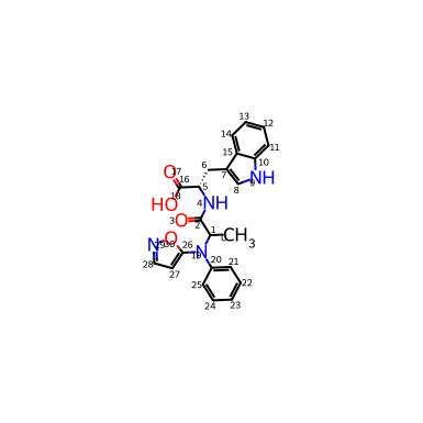 CC(C(=O)N[C@@H](Cc1c[nH]c2ccccc12)C(=O)O)N(c1ccccc1)c1ccno1